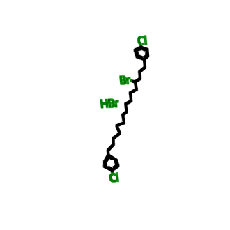 Br.Clc1ccc(CCCCCCCCCCCCC(Br)CCCc2ccc(Cl)cc2)cc1